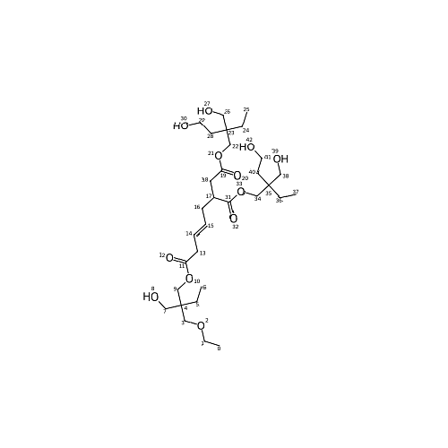 CCOCC(CC)(CO)COC(=O)CC=CCC(CC(=O)OCC(CC)(CO)CCO)C(=O)OCC(CC)(CO)CCO